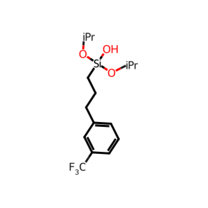 CC(C)O[Si](O)(CCCc1cccc(C(F)(F)F)c1)OC(C)C